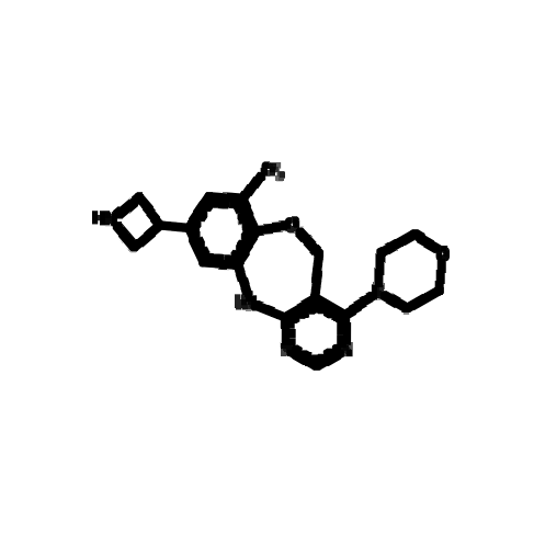 FC(F)(F)c1cc(C2CNC2)cc2c1OCc1c(ncnc1N1CCOCC1)N2